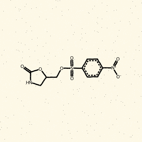 O=C1NCC(COS(=O)(=O)c2ccc([N+](=O)[O-])cc2)O1